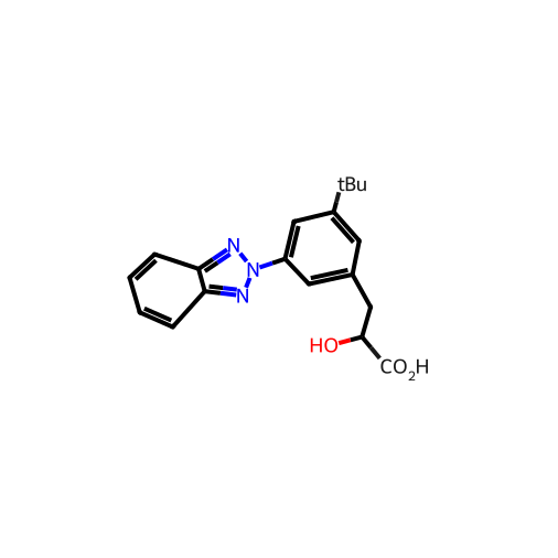 CC(C)(C)c1cc(CC(O)C(=O)O)cc(-n2nc3ccccc3n2)c1